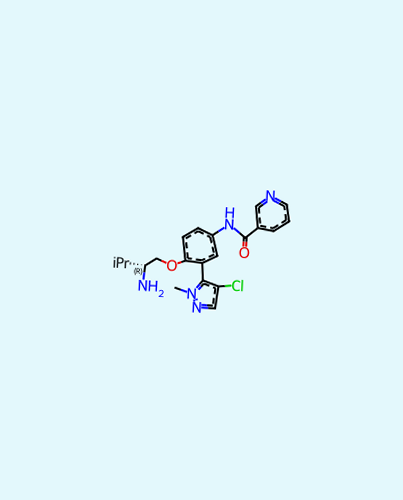 CC(C)[C@@H](N)COc1ccc(NC(=O)c2cccnc2)cc1-c1c(Cl)cnn1C